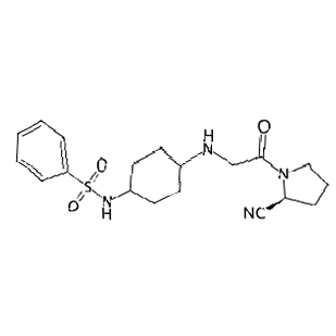 N#C[C@@H]1CCCN1C(=O)CNC1CCC(NS(=O)(=O)c2ccccc2)CC1